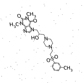 Cc1cccc(S(=O)(=O)CCN2CCN(CC(O)Cn3cnc4c3c(=O)n(C)c(=O)n4C)CC2)c1